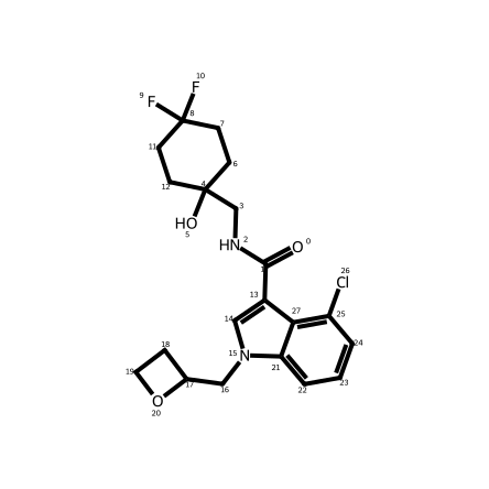 O=C(NCC1(O)CCC(F)(F)CC1)c1cn(CC2CCO2)c2cccc(Cl)c12